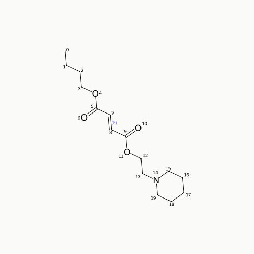 CCCCOC(=O)/C=C/C(=O)OCCN1CCCCC1